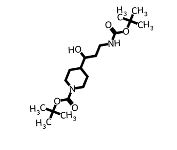 CC(C)(C)OC(=O)NCCC(O)C1CCN(C(=O)OC(C)(C)C)CC1